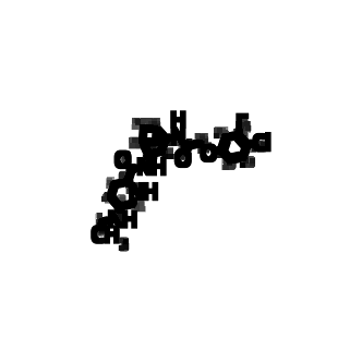 CCNC1CCC(C(=O)NC2CC(NC(=O)COc3ccc(Cl)c(F)c3)C3CC2C3)NC1